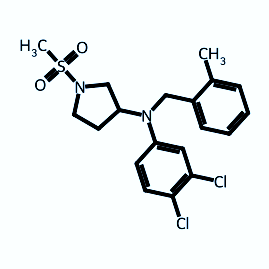 Cc1ccccc1CN(c1ccc(Cl)c(Cl)c1)C1CCN(S(C)(=O)=O)C1